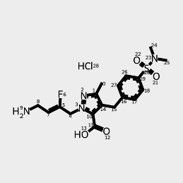 Cc1nn(C/C(F)=C/CN)c(C(=O)O)c1Cc1ccc(S(=O)(=O)N(C)C)cc1.Cl